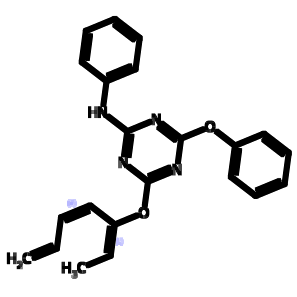 C=C/C=C\C(=C/C)Oc1nc(Nc2ccccc2)nc(Oc2ccccc2)n1